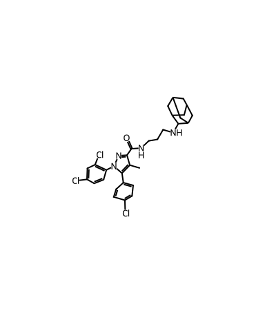 Cc1c(C(=O)NCCCNC2C3CC4CC(C3)CC2C4)nn(-c2ccc(Cl)cc2Cl)c1-c1ccc(Cl)cc1